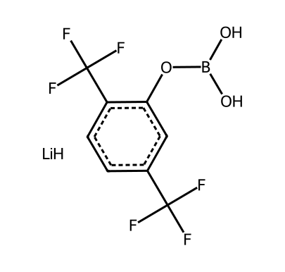 OB(O)Oc1cc(C(F)(F)F)ccc1C(F)(F)F.[LiH]